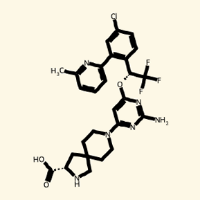 Cc1cccc(-c2cc(Cl)ccc2[C@@H](Oc2cc(N3CCC4(CC3)CN[C@H](C(=O)O)C4)nc(N)n2)C(F)(F)F)n1